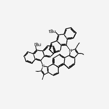 Cc1c(C)n(-c2c3ccccc3c(C(C)(C)C)c3ccccc23)c2c1ccc1c3ccc4c(C)c(C)n(-c5c6ccccc6c(C(C)(C)C)c6ccccc56)c4c3ccc12